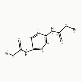 O=C(CBr)Nc1cnc(NC(=O)CBr)cn1